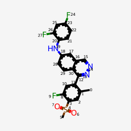 Cc1cc(S(C)(=O)=O)c(F)cc1-c1nncc2cc(Nc3ccc(F)cc3F)ccc12